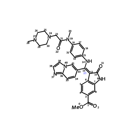 COC(=O)c1ccc2c(c1)NC(=O)/C2=C(\Nc1ccc(N(C)C(=O)CN2CCN(C)CC2)cc1)c1ccc2nccn2c1